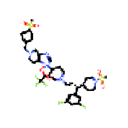 CS(=O)(=O)c1ccc(CN2CCC3=C(C2)N=C[N+]3(OC(=O)C(F)(F)F)C2CCN(CC[C@@H](c3cc(F)cc(F)c3)C3CCN(S(C)(=O)=O)CC3)CC2)cc1